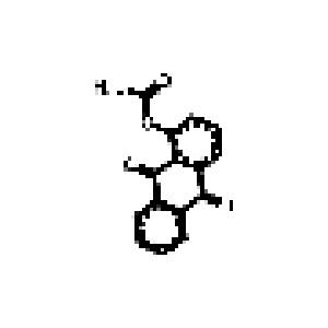 CC(=O)Oc1cccc2c1C(=O)c1ccccc1C2=O